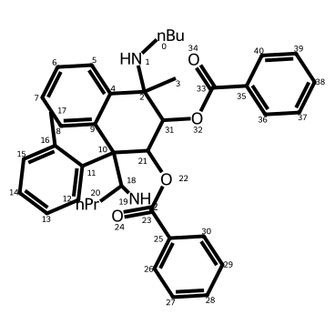 CCCCNC1(C)c2ccccc2C(c2ccccc2C)(C(N)CCC)C(OC(=O)c2ccccc2)C1OC(=O)c1ccccc1